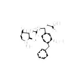 CN1C=CC(=O)C(NC(=O)N[C@@H](CC(=O)O)c2ccc(Cc3ccccc3)cc2)C1=O.[NaH]